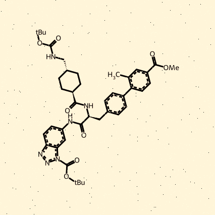 COC(=O)c1ccc(-c2ccc(C[C@H](NC(=O)[C@H]3CC[C@H](CNC(=O)OC(C)(C)C)CC3)C(=O)Nc3ccc4nnn(C(=O)OC(C)(C)C)c4c3)cc2)c(C)c1